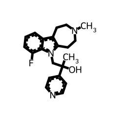 CN1CCc2c(n(CC(C)(O)c3ccncc3)c3c(F)cccc23)CC1